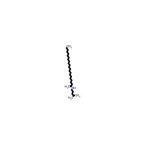 C=C(C)CCCNC(=C)CCCCCCCCCCCCCCCCCCCCC